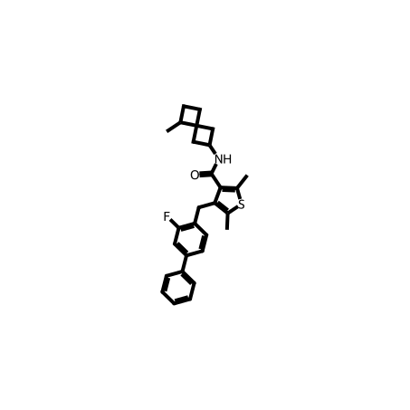 Cc1sc(C)c(C(=O)NC2CC3(CCC3C)C2)c1Cc1ccc(-c2ccccc2)cc1F